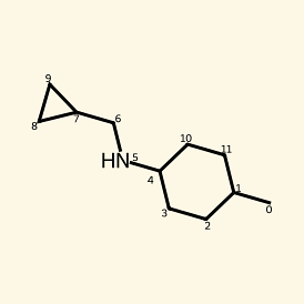 CC1CCC(NCC2CC2)CC1